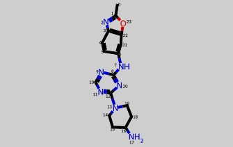 Cc1nc2ccc(Nc3ncnc(N4CCC(N)CC4)n3)cc2o1